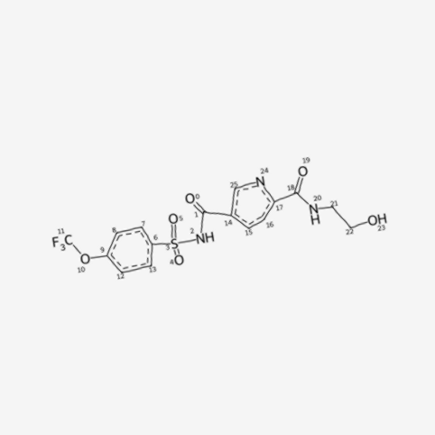 O=C(NS(=O)(=O)c1ccc(OC(F)(F)F)cc1)c1ccc(C(=O)NCCO)nc1